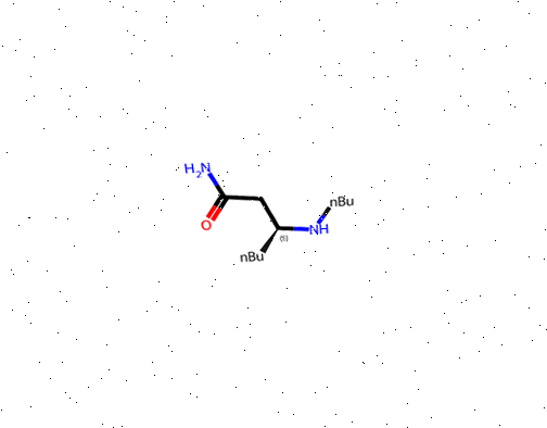 CCCCN[C@@H](CCCC)CC(N)=O